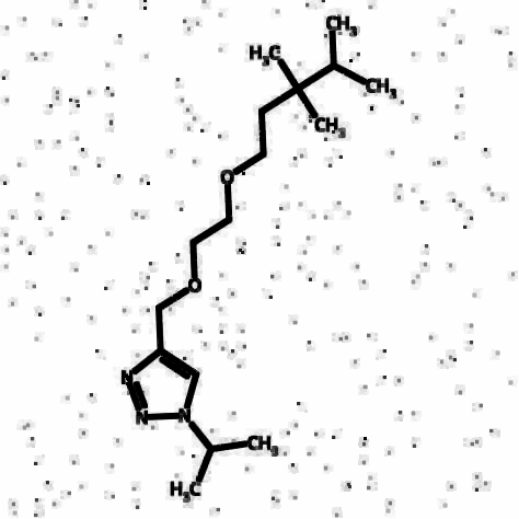 CC(C)n1cc(COCCOCCC(C)(C)C(C)C)nn1